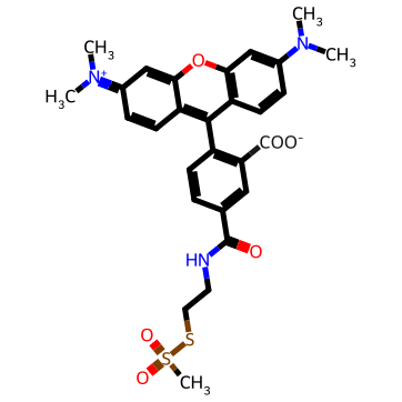 CN(C)c1ccc2c(-c3ccc(C(=O)NCCSS(C)(=O)=O)cc3C(=O)[O-])c3ccc(=[N+](C)C)cc-3oc2c1